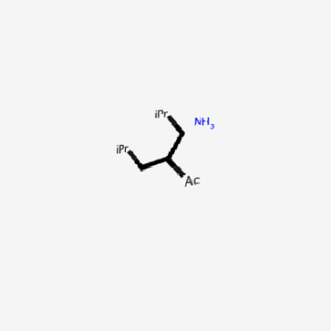 CC(=O)C(CC(C)C)CC(C)C.N